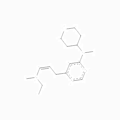 CCN(C)/C=C\Cc1cc(N(C)C2CCOCC2)ncn1